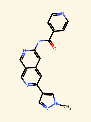 Cn1cc(-c2cc3cc(NC(=O)c4ccncc4)ncc3cn2)cn1